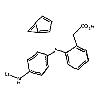 CCNc1ccc(Sc2ccccc2CC(=O)O)cc1.c1cc2cc-2c1